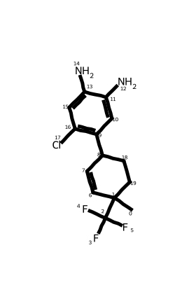 CC1(C(F)(F)F)C=CC(c2cc(N)c(N)cc2Cl)CC1